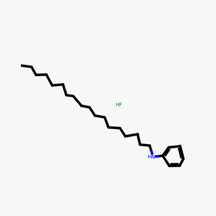 CCCCCCCCCCCCCCCCCCNc1ccccc1.F